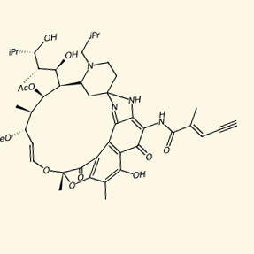 C#C/C=C(\C)C(=O)NC1=C2NC34CCN(CC(C)C)C(C3)[C@H]([C@H](O)[C@H](C)[C@@H](O)C(C)C)[C@H](OC(C)=O)[C@H](C)[C@@H](OC)/C=C/O[C@@]3(C)Oc5c(C)c(O)c(c(c5C3=O)C2=N4)C1=O